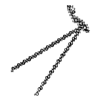 COCCOOCCOOCCOOCCOOCCOOCCOOCCOOCCOOCCOOCCOOCCOCCCC1(CCCOCCOOCCOOCCOOCCOOCCOOCCOOCCOOCCOOCCOOCCOOCCOC)c2cc(Br)ccc2-c2ccc(-c3ccc(CCCC(=O)CCCN)cc3)cc21